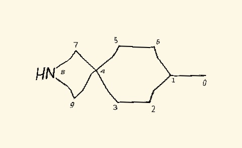 CC1CCC2(CC1)CNC2